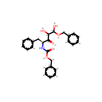 O=C(N[C@@H](Cc1ccccc1)C(=O)C(O)C(O)OCc1ccccc1)OCc1ccccc1